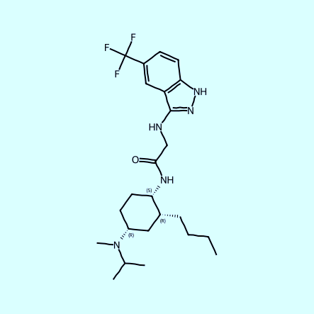 CCCC[C@@H]1C[C@H](N(C)C(C)C)CC[C@@H]1NC(=O)CNc1n[nH]c2ccc(C(F)(F)F)cc12